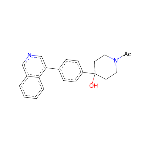 CC(=O)N1CCC(O)(c2ccc(-c3cncc4ccccc34)cc2)CC1